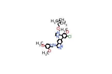 COc1ccc(CNc2cnnc3cc(-c4cc(Cl)c(OC)cc4-c4nccn4COCC[Si](C)(C)C)ccc23)c(OC)c1